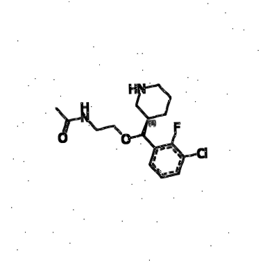 CC(=O)NCCOC(c1cccc(Cl)c1F)[C@@H]1CCCNC1